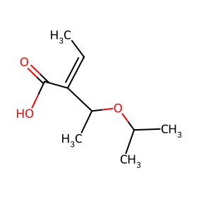 CC=C(C(=O)O)C(C)OC(C)C